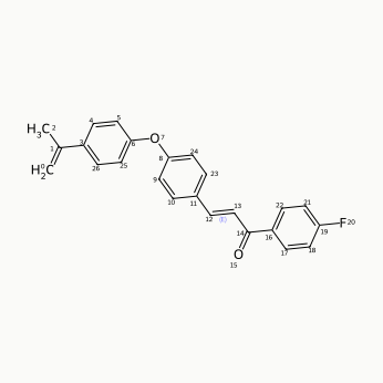 C=C(C)c1ccc(Oc2ccc(/C=C/C(=O)c3ccc(F)cc3)cc2)cc1